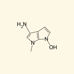 Cn1cc(N)c2ccn(O)c21